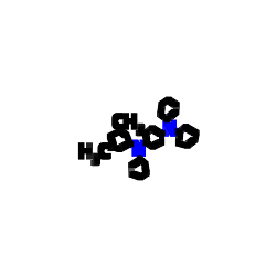 Cc1cc(C)cc(N(c2ccccc2)c2ccc(N(c3ccccc3)c3ccccc3)cc2)c1